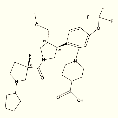 COC[C@H]1CN(C(=O)[C@@]2(F)CCN(C3CCCC3)C2)C[C@@H]1c1ccc(OC(F)(F)F)cc1N1CCC(C(=O)O)CC1